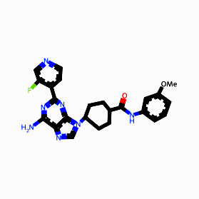 COc1cccc(NC(=O)C2CCC(n3cnc4c(N)nc(-c5ccncc5F)nc43)CC2)c1